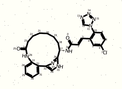 O=C(/C=C/c1cc(Cl)ccc1-n1cnnn1)N[C@H]1CCCCCCC(=O)Nc2ccccc2-c2c[nH]c1n2